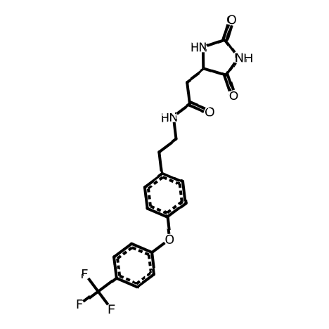 O=C(CC1NC(=O)NC1=O)NCCc1ccc(Oc2ccc(C(F)(F)F)cc2)cc1